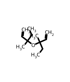 C=CC(C)(CC)OC(C)(C=C)CC